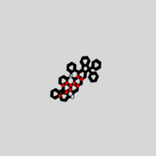 c1ccc(-c2ccc(-c3ccccc3N(c3ccccc3-c3cccc4c3-c3ccccc3C4(c3ccccc3)c3ccccc3)c3ccccc3-c3cccc4oc5ccccc5c34)cc2)cc1